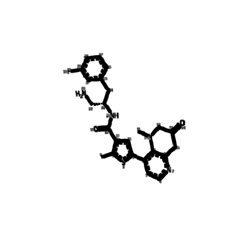 Cc1sc(-c2ccnc3c2N(C)CC(=O)C3)cc1C(=O)N[C@H](CN)Cc1cccc(F)c1